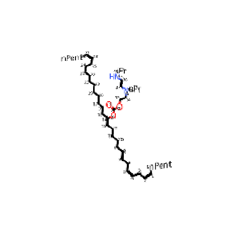 CCCCC/C=C\C/C=C\CCCCCCCCC(CCCCCCCC/C=C\C/C=C\CCCCC)OC(=O)OCCN(CCC)CCNC(C)C